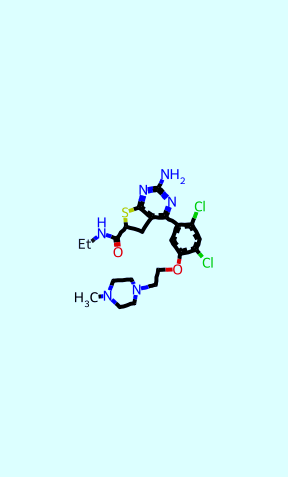 CCNC(=O)C1Cc2c(nc(N)nc2-c2cc(OCCN3CCN(C)CC3)c(Cl)cc2Cl)S1